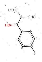 CCOC(=O)[C@H](C=O)[C@@H](O)c1ccc(C)cc1